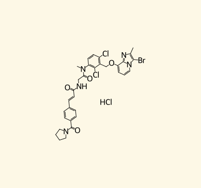 Cc1nc2c(OCc3c(Cl)ccc(N(C)C(=O)CNC(=O)C=Cc4ccc(C(=O)N5CCCC5)cc4)c3Cl)cccn2c1Br.Cl